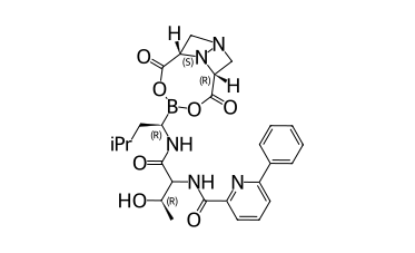 CC(C)C[C@H](NC(=O)C(NC(=O)c1cccc(-c2ccccc2)n1)[C@@H](C)O)B1OC(=O)[C@H]2CN3C[C@@H](C(=O)O1)N23